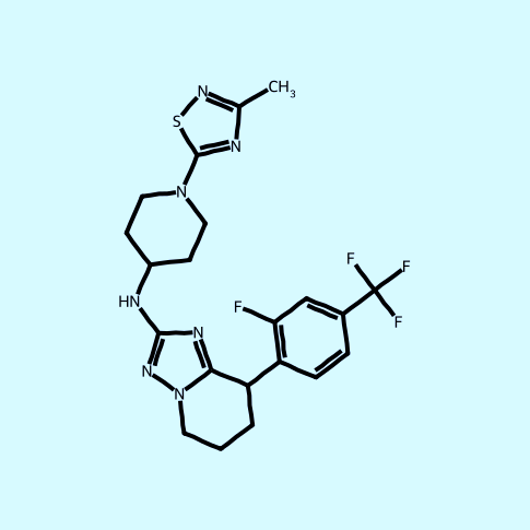 Cc1nsc(N2CCC(Nc3nc4n(n3)CCCC4c3ccc(C(F)(F)F)cc3F)CC2)n1